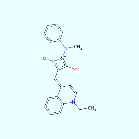 CCN1C=CC(=Cc2c([O-])[c+](N(C)c3ccccc3)[c+]2[O-])c2ccccc21